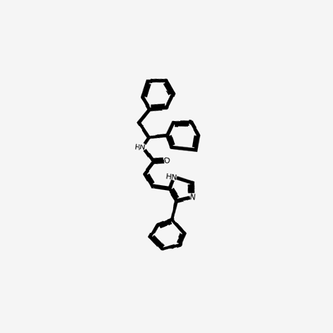 O=C(/C=C\c1[nH]cnc1-c1ccccc1)NC(Cc1ccccc1)c1ccccc1